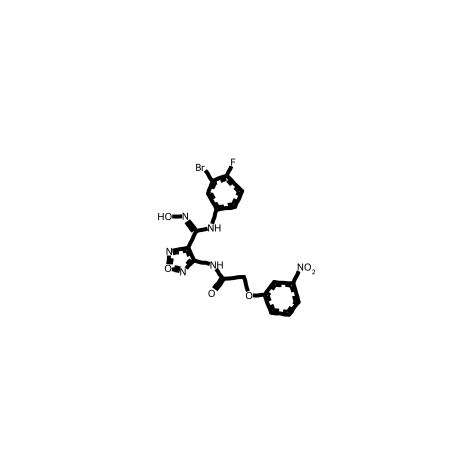 O=C(COc1cccc([N+](=O)[O-])c1)Nc1nonc1/C(=N\O)Nc1ccc(F)c(Br)c1